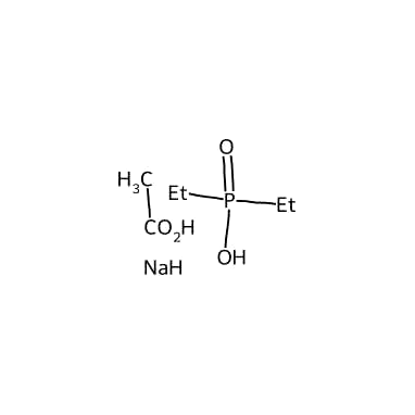 CC(=O)O.CCP(=O)(O)CC.[NaH]